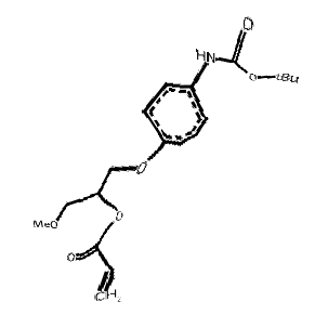 C=CC(=O)OC(COC)COc1ccc(NC(=O)OC(C)(C)C)cc1